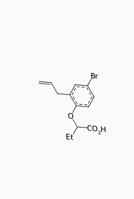 C=CCc1cc(Br)ccc1OC(CC)C(=O)O